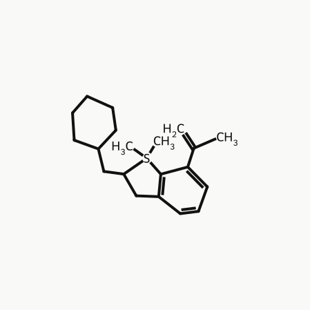 C=C(C)c1cccc2c1S(C)(C)C(CC1CCCCC1)C2